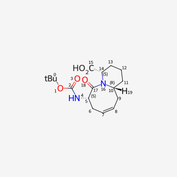 CC(C)(C)OC(=O)N[C@H]1CC=CC[C@H]2CCC[C@@H](C(=O)O)N2C1=O